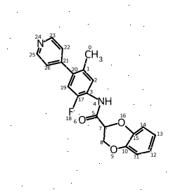 Cc1cc(NC(=O)C2COc3ccccc3O2)c(F)cc1-c1ccncc1